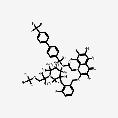 [2H]c1c(C)c([2H])c2c(c1[2H])c(=O)c([2H])c(SCc1cccc(F)c1F)n2CC(=O)N(C([2H])([2H])c1ccc(-c2ccc(C(F)(F)F)cc2)cc1)C1([2H])C([2H])([2H])C([2H])([2H])N(C([2H])([2H])COC([2H])([2H])[2H])C([2H])([2H])C1([2H])[2H]